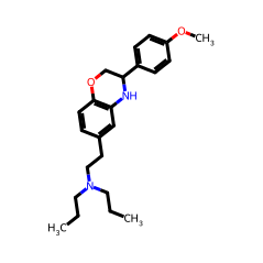 CCCN(CCC)CCc1ccc2c(c1)NC(c1ccc(OC)cc1)CO2